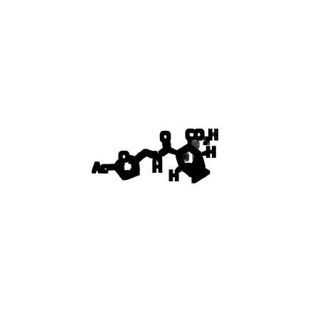 CC(=O)c1ccc(CNC(=O)[C@H]2[C@H](C(=O)O)[C@H]3CC[C@@H]2C32CC2)o1